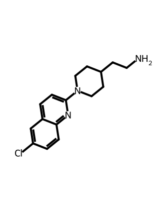 NCCC1CCN(c2ccc3cc(Cl)ccc3n2)CC1